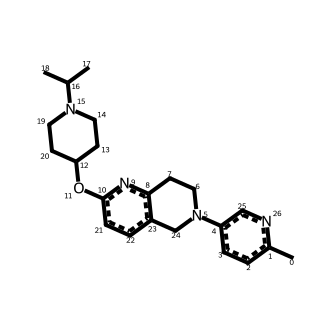 Cc1ccc(N2CCc3nc(OC4CCN(C(C)C)CC4)ccc3C2)cn1